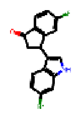 O=C1CC(c2c[nH]c3cc(Br)ccc23)c2cc(F)ccc21